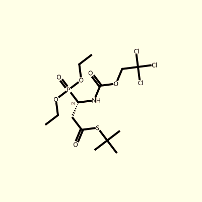 CCOP(=O)(OCC)[C@@H](CC(=O)SC(C)(C)C)NC(=O)OCC(Cl)(Cl)Cl